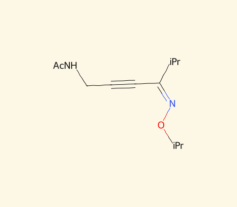 CC(=O)NCC#C/C(=N\OC(C)C)C(C)C